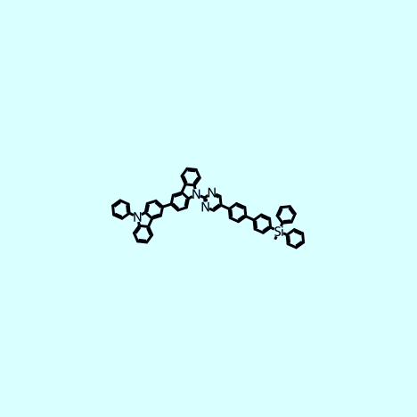 C[Si](c1ccccc1)(c1ccccc1)c1ccc(-c2ccc(-c3cnc(-n4c5ccccc5c5cc(-c6ccc7c(c6)c6ccccc6n7-c6ccccc6)ccc54)nc3)cc2)cc1